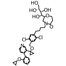 O=C1CCOC([C@@H](O)[C@H](O)[C@H](O)CO)CN1CCCCc1cc(Cl)c(COC2(c3cnccc3-c3ccccc3OC3CC3)CC2)cc1Cl